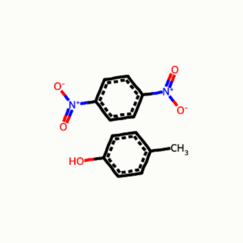 Cc1ccc(O)cc1.O=[N+]([O-])c1ccc([N+](=O)[O-])cc1